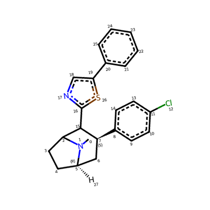 CN1C2CC[C@@H]1C[C@H](c1ccc(Cl)cc1)C2c1ncc(-c2ccccc2)s1